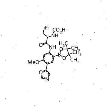 COc1cc(NC(=O)C(CC(C)C)NC(=O)O)c(B2OC(C)(C)C(C)(C)O2)cc1-c1cnco1